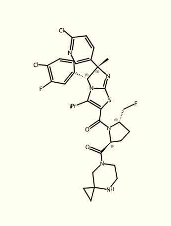 CC(C)C1=C(C(=O)N2[C@H](CF)CC[C@H]2C(=O)N2CCNC3(CC3)C2)SC2=N[C@@](C)(c3ccc(Cl)nc3)[C@@H](c3ccc(Cl)c(F)c3)N21